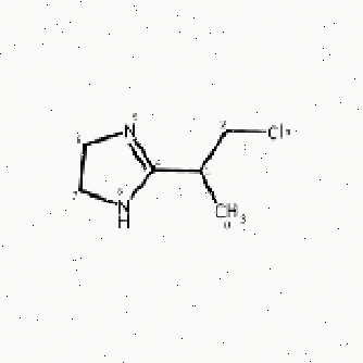 CC(CCl)C1=NCCN1